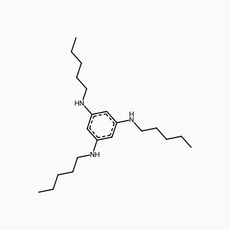 CCCCCNc1cc(NCCCCC)cc(NCCCCC)c1